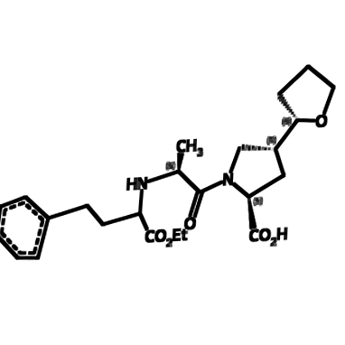 CCOC(=O)C(CCc1ccccc1)N[C@@H](C)C(=O)N1C[C@H]([C@@H]2CCCO2)C[C@H]1C(=O)O